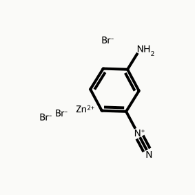 N#[N+]c1cccc(N)c1.[Br-].[Br-].[Br-].[Zn+2]